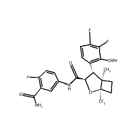 COc1c([C@H]2[C@H](C(=O)Nc3ccc(F)c(C(N)=O)c3)O[C@]3(C(F)(F)F)CC[C@]23C)ccc(F)c1F